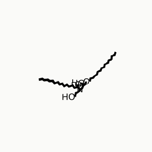 CCCCCCCCCCCCCCCCOCC(O)CN(CCCO)C(=O)CCCCCCCCCCCCCCC